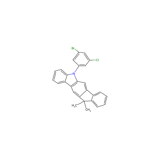 CC1(C)c2ccccc2-c2cc3c(cc21)c1ccccc1n3-c1cc(Cl)cc(Br)c1